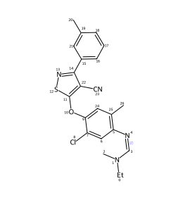 CCN(C)/C=N\c1cc(Cl)c(Oc2snc(-c3cccc(C)c3)c2C#N)cc1C